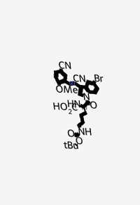 COc1ccc(C#N)cc1/C=C(\C#N)c1cn(C(=O)[C@@H](CCCCNC(=O)OC(C)(C)C)NC(=O)O)c2ccc(Br)cc12